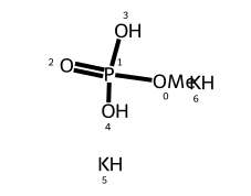 COP(=O)(O)O.[KH].[KH]